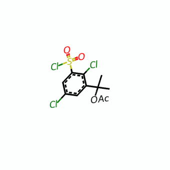 CC(=O)OC(C)(C)c1cc(Cl)cc(S(=O)(=O)Cl)c1Cl